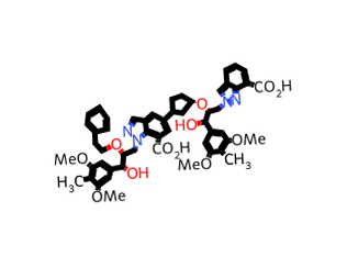 COc1cc(C(O)C(Cn2ncc3cc(C4CC[C@H](OC(Cn5cc6cccc(C(=O)O)c6n5)C(O)c5cc(OC)c(C)c(OC)c5)C4)cc(C(=O)O)c32)OCCc2ccccc2)cc(OC)c1C